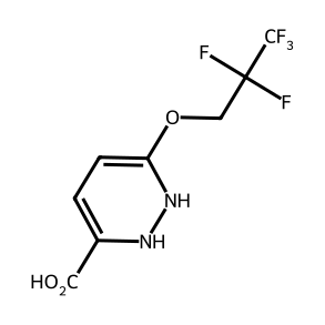 O=C(O)C1=CC=C(OCC(F)(F)C(F)(F)F)NN1